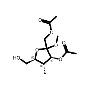 COC1(COC(C)=O)O[C@H](CO)[C@@H](C)[C@@H]1OC(C)=O